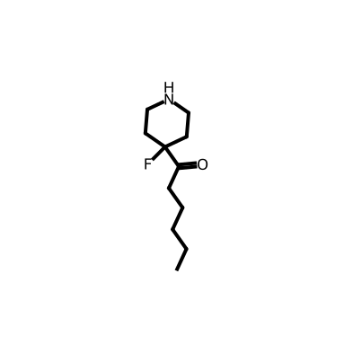 CCCCCC(=O)C1(F)CCNCC1